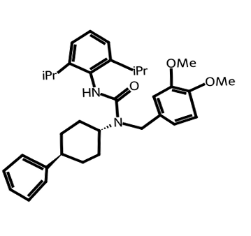 COc1ccc(CN(C(=O)Nc2c(C(C)C)cccc2C(C)C)[C@H]2CC[C@H](c3ccccc3)CC2)cc1OC